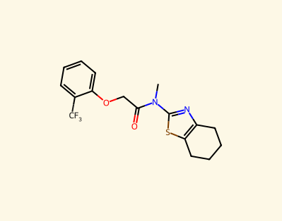 CN(C(=O)COc1ccccc1C(F)(F)F)c1nc2c(s1)CCCC2